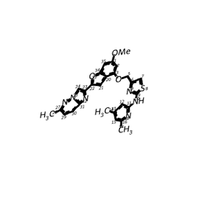 COc1cc(OCc2csc(Nc3cc(C)cc(C)n3)n2)c2cc(-c3cn4nc(C)ccc4n3)oc2c1